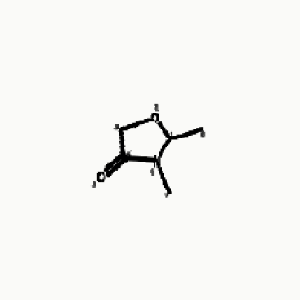 C[C]1OCC(=O)N1C